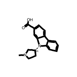 CN1CC[C@@H](n2c3ccccc3c3ccc(C(=O)O)cc32)C1